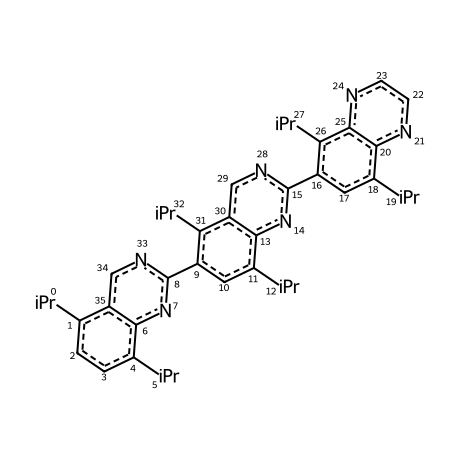 CC(C)c1ccc(C(C)C)c2nc(-c3cc(C(C)C)c4nc(-c5cc(C(C)C)c6nccnc6c5C(C)C)ncc4c3C(C)C)ncc12